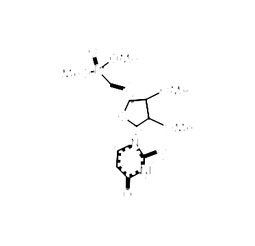 COC1C(OC)[C@@H](/C=C/P(=O)(OC)OC)O[C@H]1n1ccc(=O)[nH]c1=O